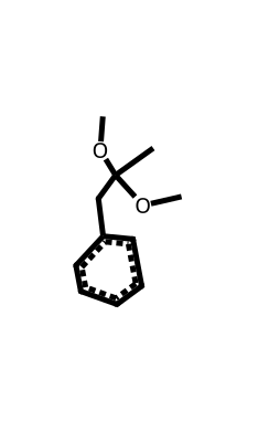 COC(C)(Cc1ccccc1)OC